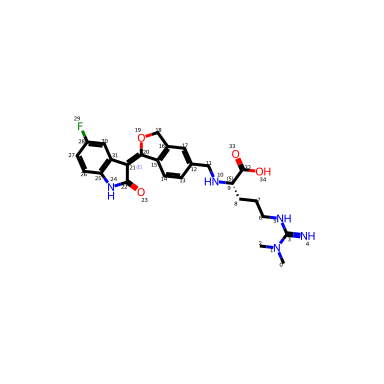 CN(C)C(=N)NCCC[C@H](NCc1ccc2c(c1)CO/C2=C1/C(=O)Nc2ccc(F)cc21)C(=O)O